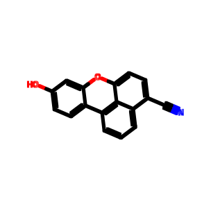 N#Cc1ccc2c3c(cccc13)-c1ccc(O)cc1O2